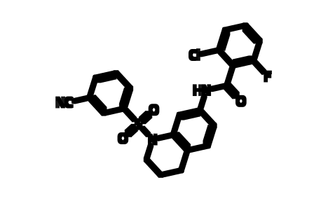 N#Cc1cccc(S(=O)(=O)N2CCCc3ccc(NC(=O)c4c(F)cccc4Cl)cc32)c1